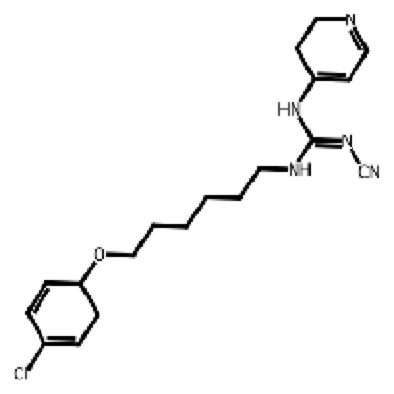 N#C/N=C(\NCCCCCCOC1C=CC(Cl)=CC1)NC1=CC=NCC1